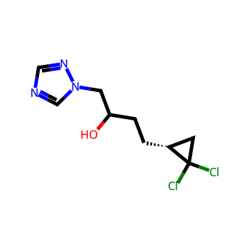 OC(CC[C@@H]1CC1(Cl)Cl)Cn1cncn1